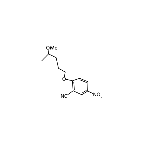 COC(C)CCCOc1ccc([N+](=O)[O-])cc1C#N